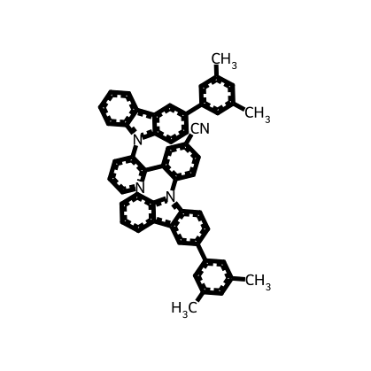 Cc1cc(C)cc(-c2ccc3c(c2)c2ccccc2n3-c2ccc(C#N)cc2-c2ncccc2-n2c3ccccc3c3cc(-c4cc(C)cc(C)c4)ccc32)c1